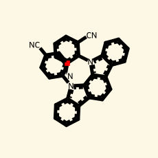 N#Cc1ccc(-n2c3ccccc3c3ccc4c5ccccc5n(-c5c(C#N)cccc5C#N)c4c32)cc1